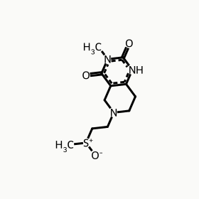 Cn1c(=O)[nH]c2c(c1=O)CN(CC[S+](C)[O-])CC2